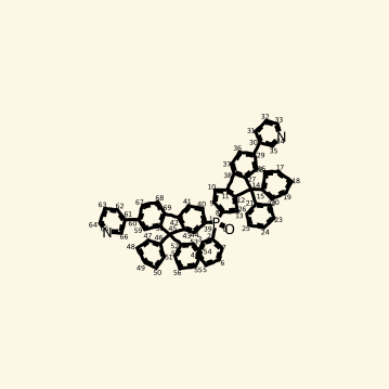 O=P(c1ccccc1)(c1ccc2c(c1)C(c1ccccc1)(c1ccccc1)c1cc(-c3cccnc3)ccc1-2)c1ccc2c(c1)C(c1ccccc1)(c1ccccc1)c1cc(-c3cccnc3)ccc1-2